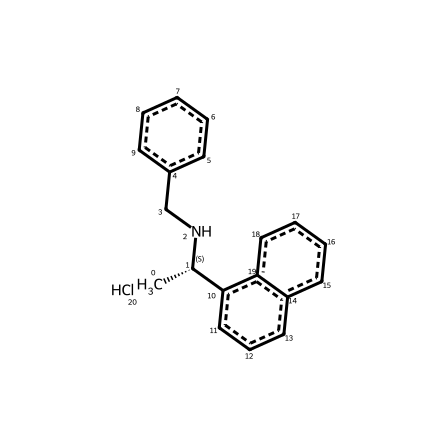 C[C@H](NCc1ccccc1)c1cccc2ccccc12.Cl